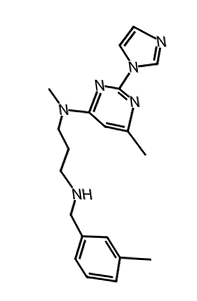 Cc1cccc(CNCCCN(C)c2cc(C)nc(-n3ccnc3)n2)c1